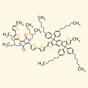 CCCCCCc1ccc(C2(c3ccc(CCCCCC)cc3)c3cc4c(cc3-c3sc(C)cc32)C(c2ccc(CCCCCC)cc2)(c2ccc(CCCCCC)cc2)c2cc(-c3ccc(-c5ccc(C6=C7C(=O)N(CC(CC)CCCC)C(c8ccc(-c9ccc(C)s9)s8)=C7C(=O)N6CC(CC)CCCC)s5)s3)sc2-4)cc1